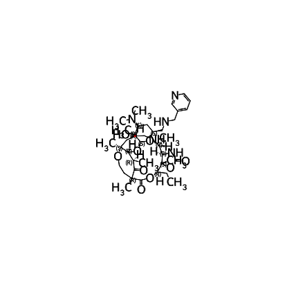 CC[C@H]1OC(=O)[C@]2(C)CCO[C@@](C)(C[C@@H](C)CN[C@H](C)[C@H]3NC(=O)O[C@@]31C)[C@H](O[C@@H]1O[C@H](CNCc3cccnc3)C[C@H](N(C)C)[C@H]1O)[C@@H](C)C2=O